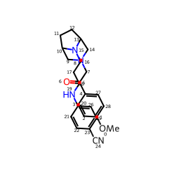 COc1ccc(C(=O)CN2CC3CCC(C2)N3CCCNc2ccc(C#N)cc2)cc1